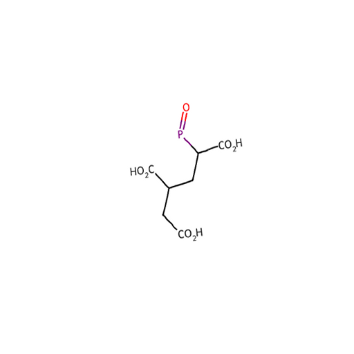 O=PC(CC(CC(=O)O)C(=O)O)C(=O)O